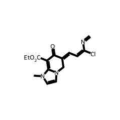 C=N/C(Cl)=C\C=C1/CN2C=CN(C)C2=C(C(=O)OCC)C1=O